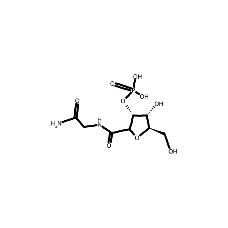 NC(=O)CNC(=O)C1O[C@H](CO)[C@@H](O)[C@H]1OP(=O)(O)O